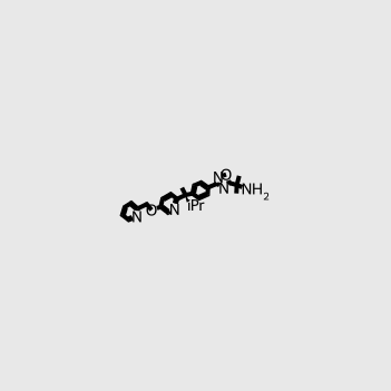 CC(C)[C@@](C)(c1ccc(-c2noc(C(C)(C)N)n2)cc1)c1ccc(OCc2ccccn2)cn1